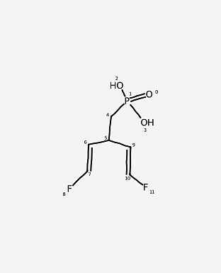 O=P(O)(O)CC(C=CF)C=CF